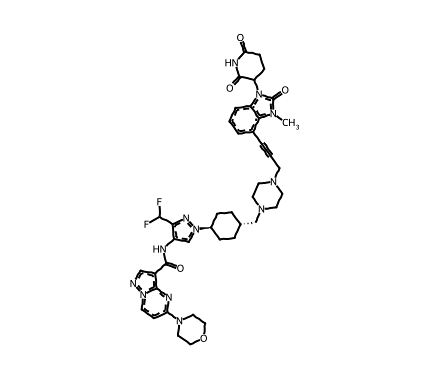 Cn1c(=O)n(C2CCC(=O)NC2=O)c2cccc(C#CCN3CCN(C[C@H]4CC[C@H](n5cc(NC(=O)c6cnn7ccc(N8CCOCC8)nc67)c(C(F)F)n5)CC4)CC3)c21